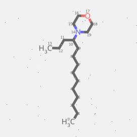 CCCCCCCCCCC(CCC)N1CCOCC1